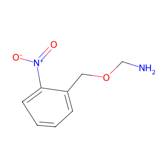 NCOCc1ccccc1[N+](=O)[O-]